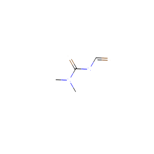 CN(C)C(=S)NC=S